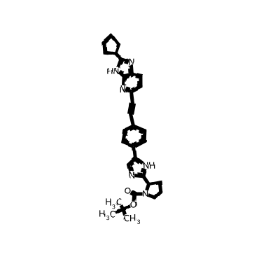 CC(C)(C)OC(=O)N1CCCC1c1ncc(-c2ccc(C#Cc3ccc4nc(C5CCCC5)[nH]c4n3)cc2)[nH]1